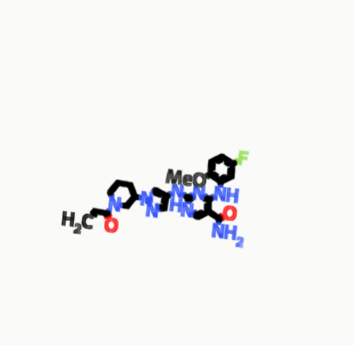 C=CC(=O)N1CCCC(n2cc(Nc3ncc(C(N)=O)c(Nc4cc(F)ccc4OC)n3)cn2)C1